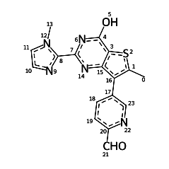 Cc1sc2c(O)nc(-c3nccn3C)nc2c1-c1ccc(C=O)nc1